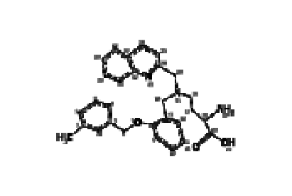 Cc1cccc(COc2ccccc2CN(CCC(N)C(=O)O)Cc2ccc3ccccc3n2)c1